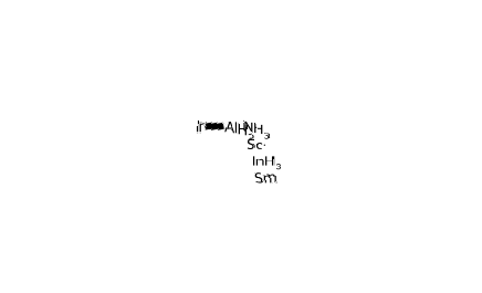 N.[AlH2][Ir].[InH3].[Sc].[Sm]